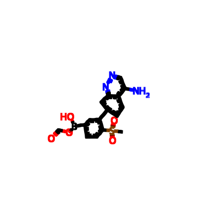 CS(=O)(=O)c1ccc(B(O)OC=O)cc1-c1ccc2c(N)cnnc2c1